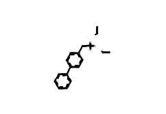 CCOC(Br)(Cc1ccc(-c2ccccc2)cc1)OCC